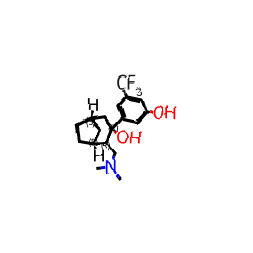 CN(C)C[C@H]1[C@@H]2CC[C@@H](C2)C[C@]1(O)c1cc(O)cc(C(F)(F)F)c1